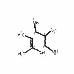 CC=C(C)C.OCC(O)CO